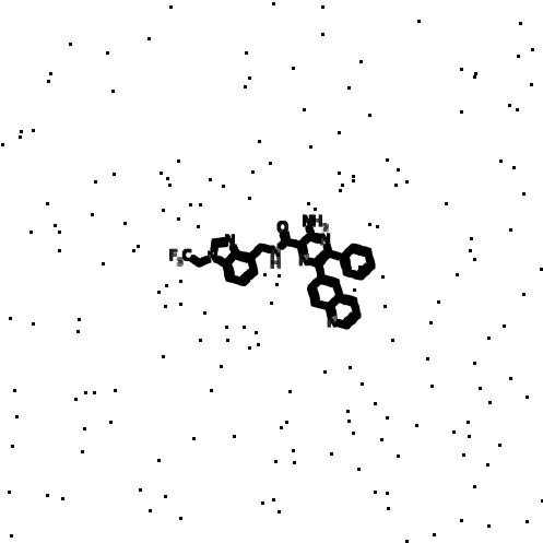 Nc1nc(-c2ccccc2)c(-c2ccc3ncccc3c2)nc1C(=O)NCc1cccc2c1ncn2CC(F)(F)F